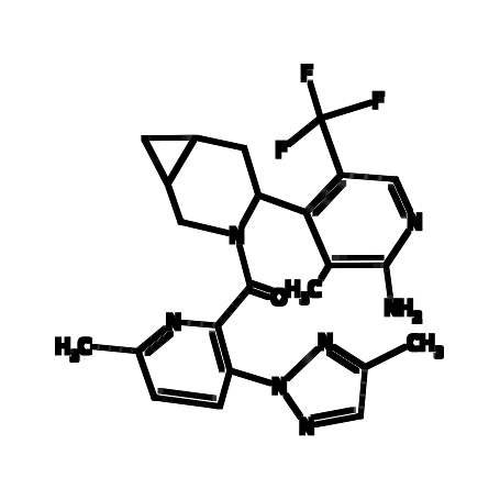 Cc1ccc(-n2ncc(C)n2)c(C(=O)N2CC3CC3CC2c2c(C(F)(F)F)cnc(N)c2C)n1